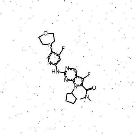 CN(C)C(=O)c1c(F)c2cnc(Nc3cc(F)c(N4CCOCC4)cn3)nc2n1C1CCCC1